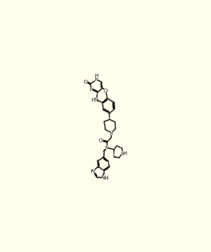 O=C(CN1CCC(c2ccc3c(c2)Nc2nc(=O)[nH]cc2O3)CC1)N(Cc1ccc2[nH]cnc2c1)C1CCNCC1